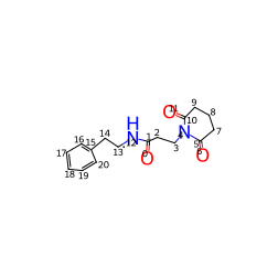 O=C(CCN1C(=O)CCCC1=O)N[CH]Cc1ccccc1